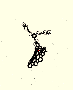 CC1C2CC3c4c2c2c5c6c4C4C3CCC3C7CCC8c9c7c(c-6c6c-5c5c7c(c96)C8CCC7C6C(C2(CCCC(=O)OCc2cc(OCCCOC7(C)COC7)cc(OCCCOC7(C)COC7)c2)c2ccccc2)C516)C34